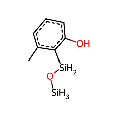 Cc1cccc(O)c1[SiH2]O[SiH3]